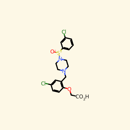 O=C(O)COc1ccc(Cl)cc1CN1CCN([S+]([O-])c2cccc(Cl)c2)CC1